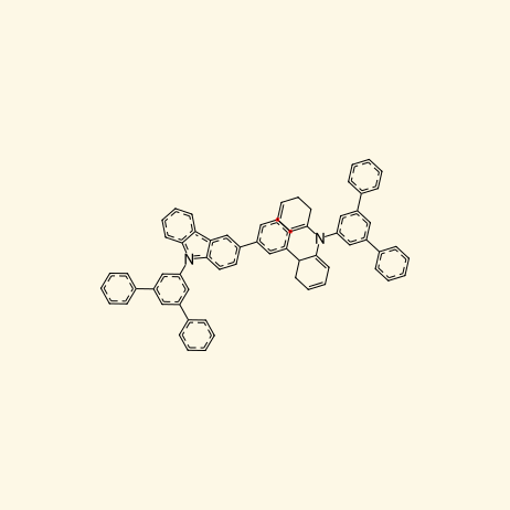 C1=CCCC(N(C2=CC=CCC2c2cccc(-c3ccc4c(c3)c3ccccc3n4-c3cc(-c4ccccc4)cc(-c4ccccc4)c3)c2)c2cc(-c3ccccc3)cc(-c3ccccc3)c2)=C1